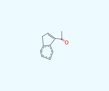 CC(=O)C1=CCc2ccccc21